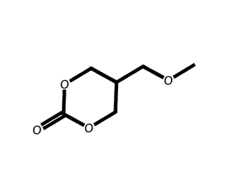 COCC1COC(=O)OC1